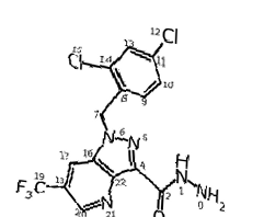 NNC(=O)c1nn(Cc2ccc(Cl)cc2Cl)c2cc(C(F)(F)F)cnc12